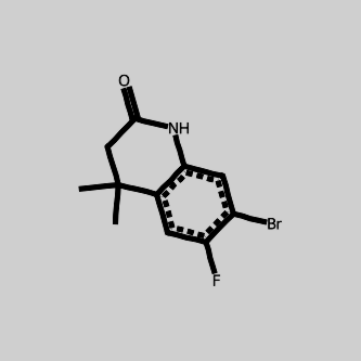 CC1(C)CC(=O)Nc2cc(Br)c(F)cc21